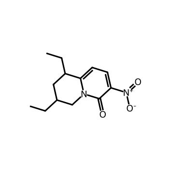 CCC1CC(CC)c2ccc([N+](=O)[O-])c(=O)n2C1